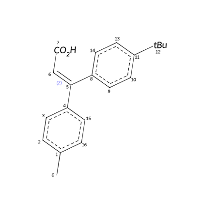 Cc1ccc(/C(=C/C(=O)O)c2ccc(C(C)(C)C)cc2)cc1